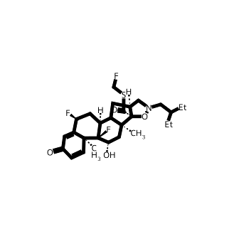 CCC(CC)CN1C[C@@H]2CC3[C@@H]4C[C@H](F)C5=CC(=O)C=C[C@]5(C)[C@@]4(F)[C@@H](O)C[C@]3(C)[C@]2(C(=O)SCF)O1